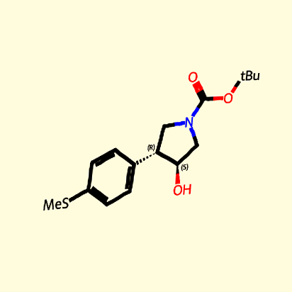 CSc1ccc([C@@H]2CN(C(=O)OC(C)(C)C)C[C@H]2O)cc1